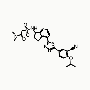 CC(C)Oc1ccc(-c2nnc(-c3cccc4c3CCC4NS(=O)(=O)CC(=O)N(C)C)s2)cc1C#N